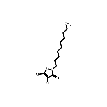 CCCCCCCCCCn1sc(Cl)c(Cl)c1=O